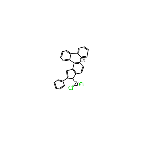 CCc1ccc2c(c1-c1ccccc1-c1ccccc1)C=C(c1ccccc1)[CH]2[Zr]([Cl])[Cl]